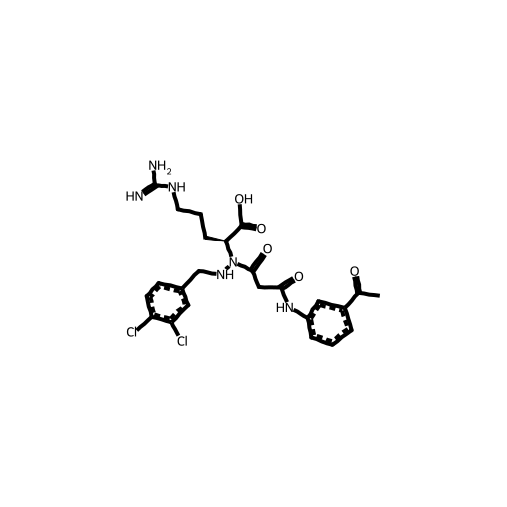 CC(=O)c1cccc(NC(=O)CC(=O)N(NCc2ccc(Cl)c(Cl)c2)[C@@H](CCCNC(=N)N)C(=O)O)c1